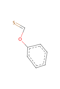 S=COc1ccccc1